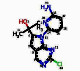 CC(C)(O)c1cc2cnc(Cl)nc2n1-c1cccc(N)n1